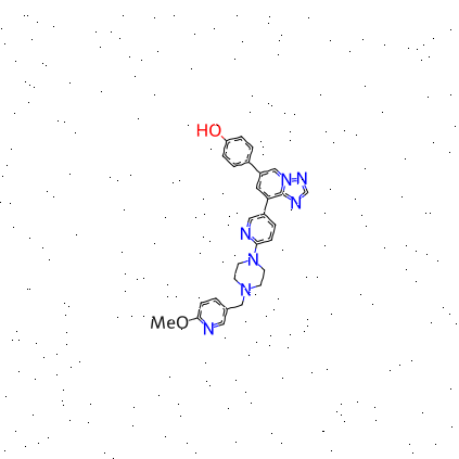 COc1ccc(CN2CCN(c3ccc(-c4cc(-c5ccc(O)cc5)cn5ncnc45)cn3)CC2)cn1